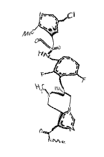 CNC(=O)c1ncn2c1CN(C)[C@@H](c1c(F)ccc(NS(=O)(=O)c3cc(Cl)cnc3OC)c1F)C2